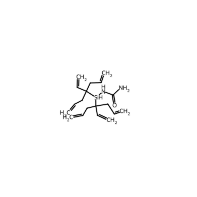 C=CCC(C=C)(CC=C)[SiH](NC(N)=O)C(C=C)(CC=C)CC=C